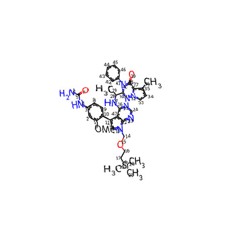 COc1cc(NC(N)=O)ccc1-c1cn(COCC[Si](C)(C)C)c2ncnc(NC(C)c3nn4ccc(C)c4c(=O)n3-c3ccccc3)c12